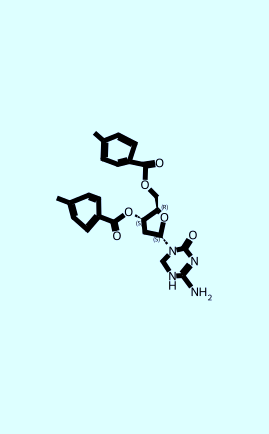 Cc1ccc(C(=O)OC[C@H]2O[C@H](N3CNC(N)=NC3=O)C[C@@H]2OC(=O)c2ccc(C)cc2)cc1